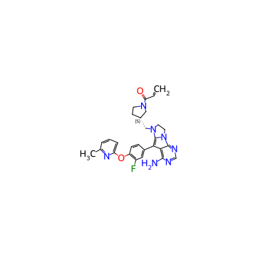 C=CC(=O)N1CC[C@@H](CN2CCn3c2c(-c2ccc(Oc4cccc(C)n4)c(F)c2)c2c(N)ncnc23)C1